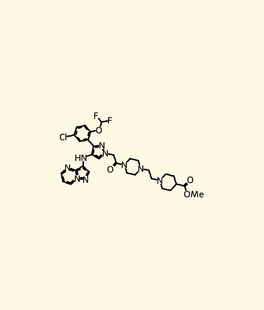 COC(=O)C1CCN(CCN2CCN(C(=O)Cn3cc(Nc4cnn5cccnc45)c(-c4cc(Cl)ccc4OC(F)F)n3)CC2)CC1